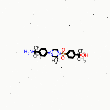 C[C@@H]1CN(c2ccc(C(N)(C(F)(F)F)C(F)(F)F)cc2)CCN1S(=O)(=O)c1ccc(C(C)(O)C(F)(F)F)cc1